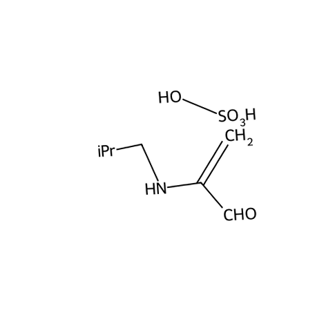 C=C(C=O)NCC(C)C.O=S(=O)(O)O